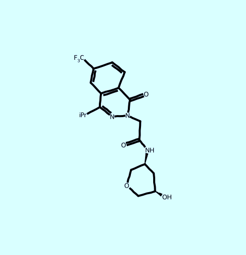 CC(C)c1nn(CC(=O)N[C@@H]2COC[C@H](O)C2)c(=O)c2ccc(C(F)(F)F)cc12